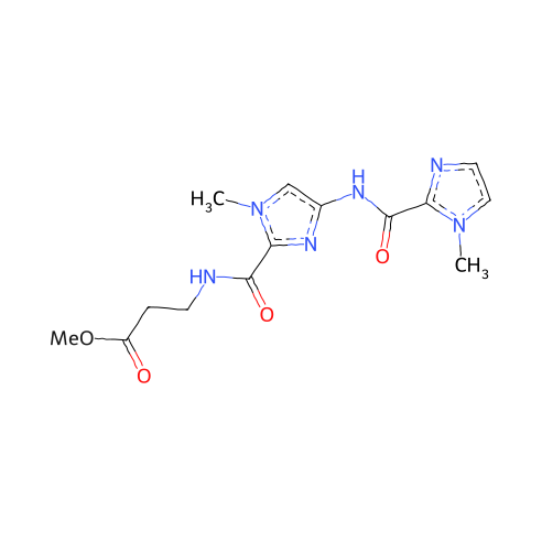 COC(=O)CCNC(=O)c1nc(NC(=O)c2nccn2C)cn1C